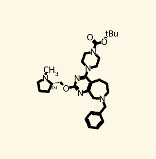 CN1CCC[C@H]1COc1nc2c(c(N3CCN(C(=O)OC(C)(C)C)CC3)n1)CCCN(Cc1ccccc1)C2